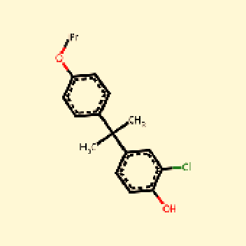 CC(C)Oc1ccc(C(C)(C)c2ccc(O)c(Cl)c2)cc1